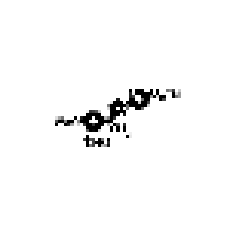 CNc1ccc(C(C)c2ccn(-c3ccc(OCC#N)cn3)n2)cc1SC=O